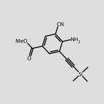 COC(=O)c1cc(C#N)c(N)c(C#C[Si](C)(C)C)c1